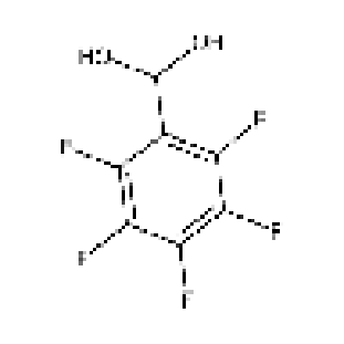 OC(O)c1c(F)c(F)c(F)c(F)c1F